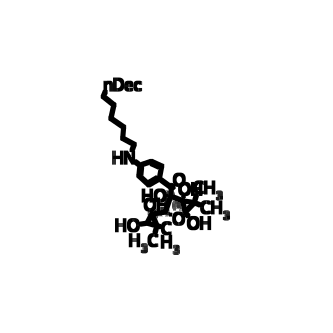 CCCCCCCCCCCCCCCCNc1ccc(C(=O)[C@]2(O)[C@@H]([C@]3(O)C(O)C3(C)C)OC3(O)C(C)(C)[C@]32O)cc1